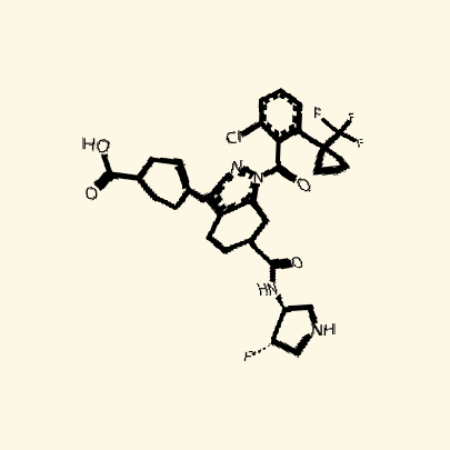 O=C(O)C1CC=C(c2nn(C(=O)c3c(Cl)cccc3C3(C(F)(F)F)CC3)c3c2CCC(C(=O)N[C@H]2CNC[C@@H]2F)C3)CC1